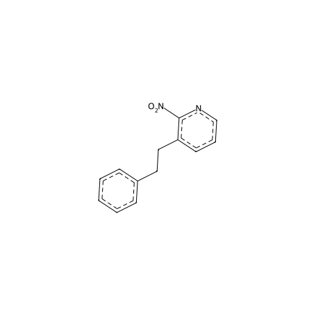 O=[N+]([O-])c1ncccc1CCc1ccccc1